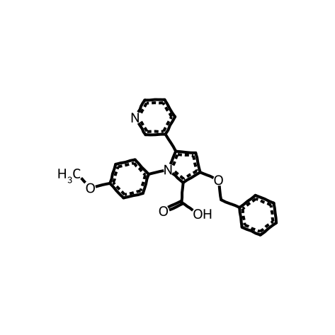 COc1ccc(-n2c(-c3cccnc3)cc(OCc3ccccc3)c2C(=O)O)cc1